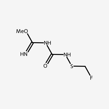 COC(=N)NC(=O)NSCF